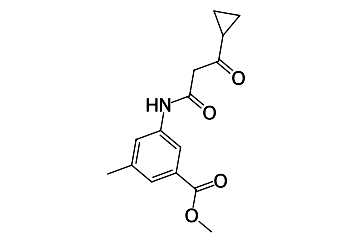 COC(=O)c1cc(C)cc(NC(=O)CC(=O)C2CC2)c1